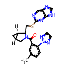 Cc1ccc(-n2nccn2)c(C(=O)N2C[C@H]3C[C@H]3[C@H]2CSc2ncc3nc[nH]c3n2)c1